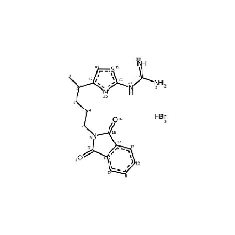 Br.CC(CCCN1C(=O)c2ccccc2C1=O)c1csc(NC(=N)N)n1